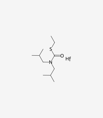 CCSC(=O)N(CC(C)C)CC(C)C.[Hf]